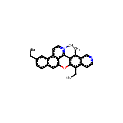 Cc1c2c(c(CC(C)(C)C)c3ccncc13)Oc1cc3ccc(CC(C)(C)C)cc3c3cc[n+](C)c-2c13